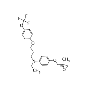 CCN(CCCOc1ccc(OC(F)(F)F)cc1)c1ccc(OC[C@@]2(C)CO2)cc1